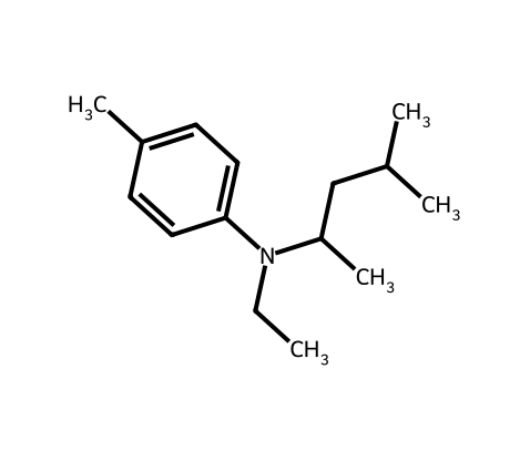 CCN(c1ccc(C)cc1)C(C)CC(C)C